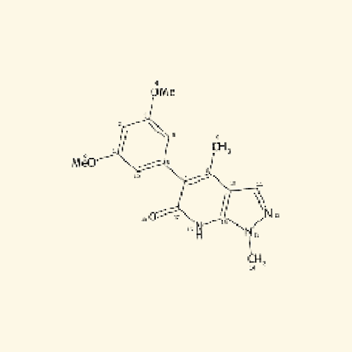 COc1cc(OC)cc(-c2c(C)c3cnn(C)c3[nH]c2=O)c1